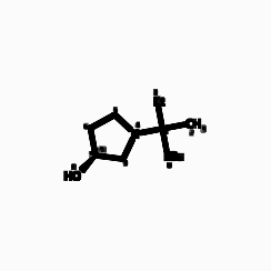 CCCCC(C)(CC)N1CC[C@H](O)C1